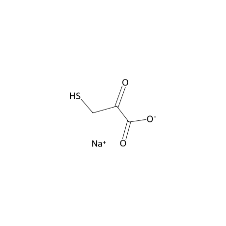 O=C([O-])C(=O)CS.[Na+]